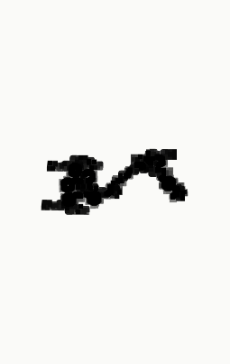 COc1ccc(CC[C@H](OC(=O)[C@H]2CCCCN2C(=O)[C@H](c2cc(OC)c(OC)c(OC)c2)C2CCCCC2)c2cccc(OCc3cn(CCOCCOCC(=O)N[C@H](C(=O)N4C[C@H](O)C[C@H]4C(=O)NCc4ccc(-c5scnc5C)cc4)C(C)(C)C)nn3)c2)cc1OC